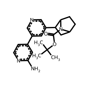 CC(C)(C)OC(=O)N1C2CCC1C(c1cncc(-c3ccnc(N)c3)c1)C2